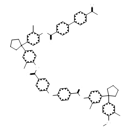 COc1ccc(C2(c3ccc(OC(=O)c4ccc(Oc5ccc(C(=O)Oc6ccc(C7(c8ccc(OC(=O)c9ccc(-c%10ccc(C(C)=O)cc%10)cc9)c(C)c8)CCCC7)cc6C)cc5)cc4)c(C)c3)CCCC2)cc1C